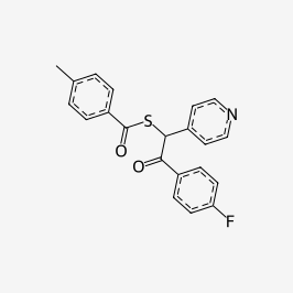 Cc1ccc(C(=O)SC(C(=O)c2ccc(F)cc2)c2ccncc2)cc1